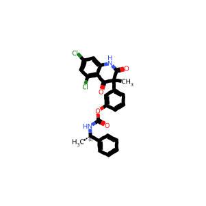 C[C@H](NC(=O)Oc1cccc(C2(C)C(=O)Nc3cc(Cl)cc(Cl)c3C2=O)c1)c1ccccc1